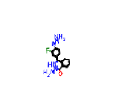 NN=Nc1ccc(C2NN(N)C(=O)c3ccccc32)cc1F